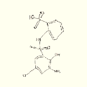 Nc1cc(Cl)cc(S(=O)(=O)Nc2ccccc2S(=O)(=O)O)c1O